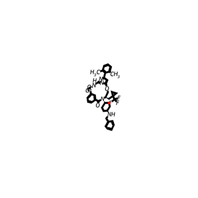 Cc1cccc(C)c1-c1cc2nc(n1)NS(=O)(=O)c1cccc(c1)C(=O)N([C@H]1CC[C@H](NCc3ccccc3)CC1)[C@H](CC1(C(F)(F)F)CC1)CO2